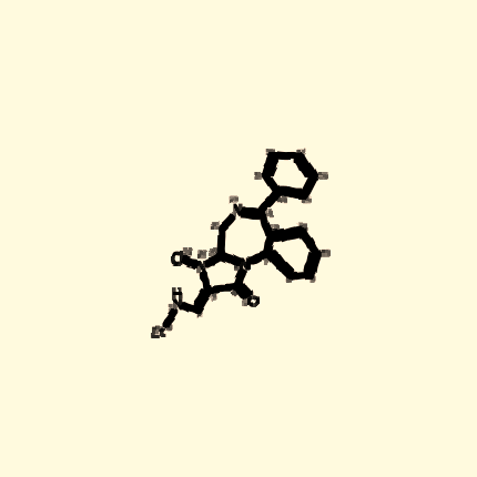 CCNC=C1C(=O)N2c3ccccc3C(c3ccccc3)=NCC2N1Cl